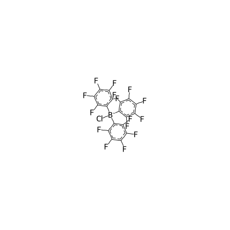 Fc1c(F)c(F)c([B-](Cl)(c2c(F)c(F)c(F)c(F)c2F)c2c(F)c(F)c(F)c(F)c2F)c(F)c1F